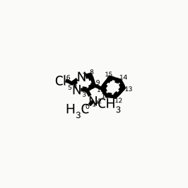 CN(C)c1nc(Cl)ncc1-c1ccccc1